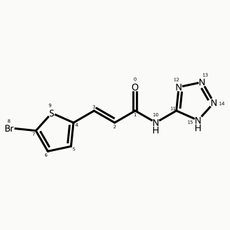 O=C(C=Cc1ccc(Br)s1)Nc1nnn[nH]1